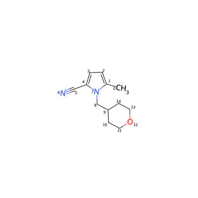 Cc1ccc(C#N)n1CC1CCOCC1